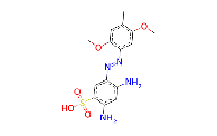 COc1cc(N=Nc2cc(S(=O)(=O)O)c(N)cc2N)c(OC)cc1C